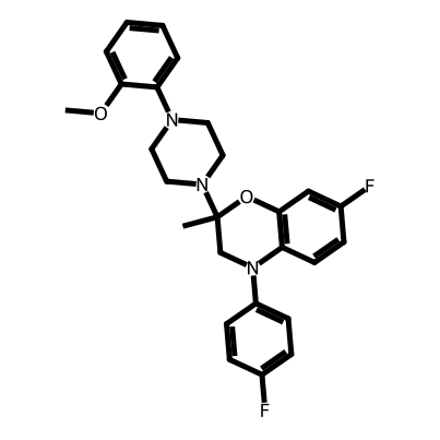 COc1ccccc1N1CCN(C2(C)CN(c3ccc(F)cc3)c3ccc(F)cc3O2)CC1